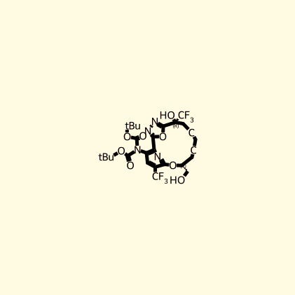 CC(C)(C)OC(=O)N(C(=O)OC(C)(C)C)c1cc(C(F)(F)F)c2nc1-c1nnc(o1)[C@@](O)(C(F)(F)F)CCCCC[C@H](CO)O2